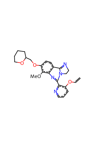 C=COc1cccnc1C1=Nc2c(ccc(OCC3CCCCO3)c2OC)C2=NCCN21